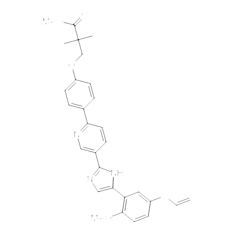 C=COc1ccc(OC)c(-c2cnc(-c3ccc(-c4ccc(OCC(C)(C)C(=O)OC)cc4)nc3)[nH]2)c1